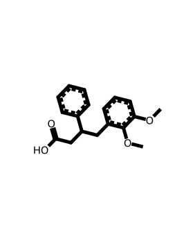 COc1cccc(CC(CC(=O)O)c2ccccc2)c1OC